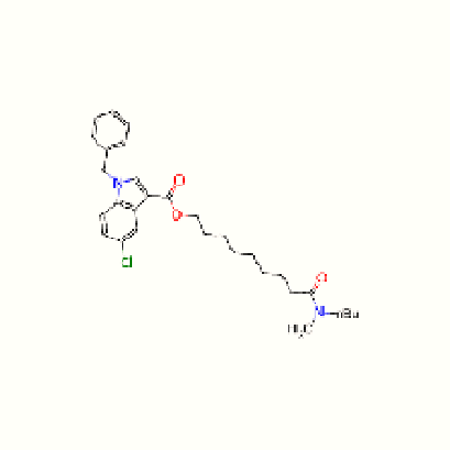 CCCCN(C)C(=O)CCCCCCCCOC(=O)c1cn(Cc2ccccc2)c2ccc(Cl)cc12